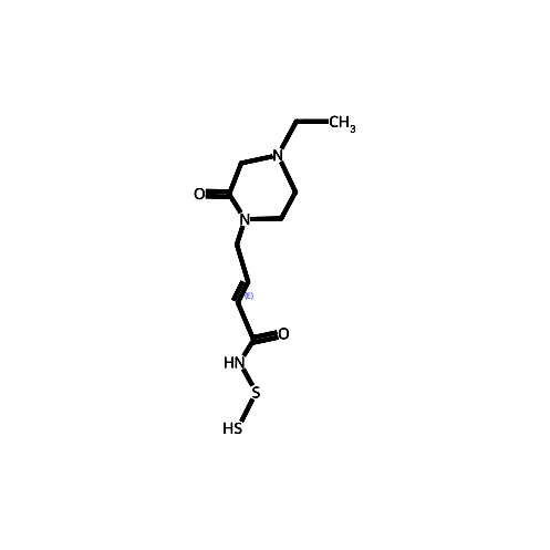 CCN1CCN(C/C=C/C(=O)NSS)C(=O)C1